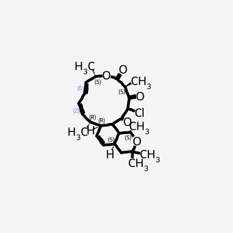 C[C@@H]1C(=O)O[C@@H](C)/C=C/C=C\[C@@H](C)[C@@H]2C=C[C@@H]3CC(C)(C)O[C@@H](C)C3C2C(=O)C(Cl)C1=O